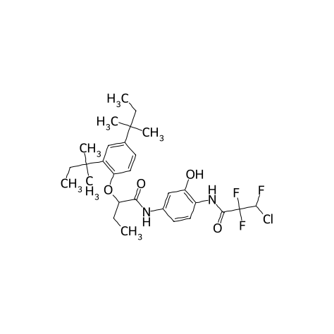 CCC(Oc1ccc(C(C)(C)CC)cc1C(C)(C)CC)C(=O)Nc1ccc(NC(=O)C(F)(F)C(F)Cl)c(O)c1